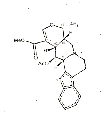 COC(=O)C1=CO[C@H](C)[C@@H]2CN3CCc4c([nH]c5ccccc45)[C@@H]3[C@@H](OC(C)=O)[C@H]12